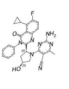 Cc1nc(N)nc(N2C[C@@H](O)C[C@H]2c2nc3ccc(F)c(C4CC4)c3c(=O)n2-c2ccccc2)c1C#N